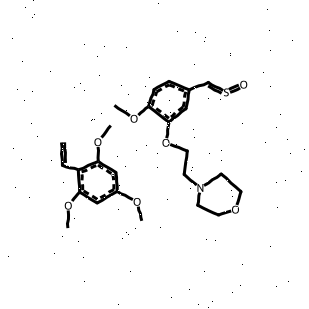 C=Cc1c(OC)cc(OC)cc1OC.COc1ccc(C=S=O)cc1OCCN1CCOCC1